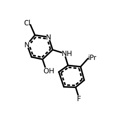 CC(C)c1cc(F)ccc1Nc1nc(Cl)ncc1O